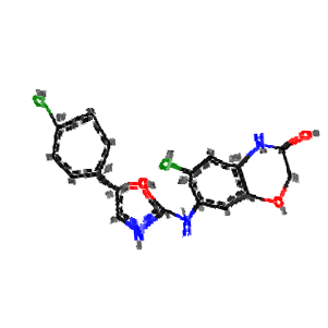 O=C1COc2cc(Nc3ncc(-c4ccc(Cl)cc4)o3)c(Cl)cc2N1